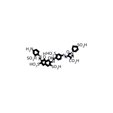 Nc1ccc(/N=N/c2c(S(=O)(=O)O)cc3cc(S(=O)(=O)O)c(/N=N/c4ccc(/N=N/C5C(=O)N(c6ccc(S(=O)(=O)O)cc6)N=C5C(=O)O)cc4S(=O)(=O)O)c(O)c3c2O)c(S(=O)(=O)O)c1